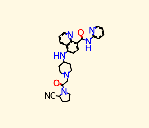 N#CC1CCCN1C(=O)CN1CCC(Nc2ccc(C(=O)Nc3ccccn3)c3ncccc23)CC1